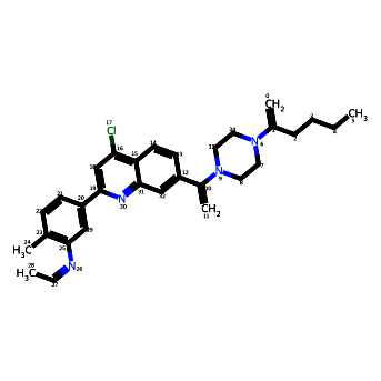 C=C(CCCC)N1CCN(C(=C)c2ccc3c(Cl)cc(-c4ccc(C)c(/N=C\C)c4)nc3c2)CC1